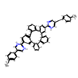 N#Cc1ccc(-c2cnc(-c3ccc4c5ccccc5c5ccc(-c6ncc(-c7ccc(C#N)cc7)cn6)cc5c5ccccc5c5ccccc5c4c3)nc2)cc1